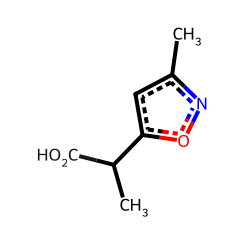 Cc1cc(C(C)C(=O)O)on1